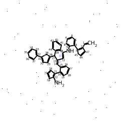 C=CC1=C(c2ccccc2N/C=C/C(=C\c2ccccc2C2=C(N)C=C=C2)C(C2=CC=C(c3ccccc3)C2)c2ccccc2)CC=C1